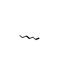 C=CCC=CCC